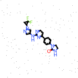 O=C1NCCN1c1ccc(-c2ccnc(Nc3cnn(C4CC4(F)F)c3)n2)cc1